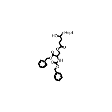 CCCCCCCC(O)CCC(=O)OCC(NC(=O)OCc1ccccc1)C(=O)OCc1ccccc1